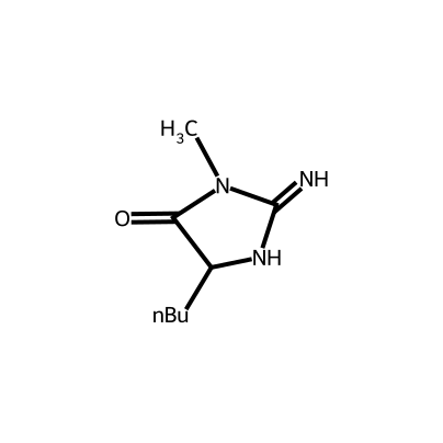 CCCCC1NC(=N)N(C)C1=O